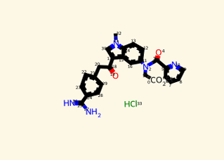 CCOC(=O)CN(C(=O)c1ccccn1)c1ccc2c(c1)c(C(=O)Cc1ccc(C(=N)N)cc1)cn2C.Cl